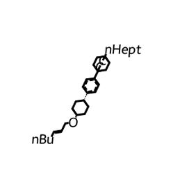 CCCCC=CCO[C@H]1CC[C@H](c2ccc(C34CCC(CCCCCCC)(CC3)CC4)cc2)CC1